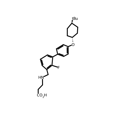 CC(C)(C)[C@H]1CC[C@H](Oc2ccc(-c3cccc(CNCCC(=O)O)c3F)cc2)CC1